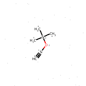 C#[Si]O[Si](C)(C)C